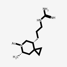 CC(=O)N1C[C@H](CCCNC(=N)N)C2(CC2)C[C@@H]1C